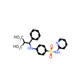 O=C(O)C(C(=O)O)C(Nc1ccc(S(=O)(=O)Nc2ccccn2)cc1)c1ccccc1